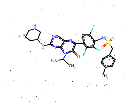 Cc1ccc(CS(=O)(=O)Nc2c(F)cc(-c3nc4cnc(N[C@@H]5CNC[C@@H](F)C5)nc4n(C(C)C)c3=O)c(F)c2F)cc1